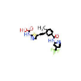 Cc1ccc(C(=O)Nc2cc(C(F)(F)F)ccn2)cc1C#Cc1cnc(NC(=O)O)s1